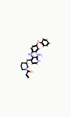 C=CC(=O)N1CCC[C@@H](Cc2ccnc(N)c2Nc2ccc(Oc3ccccc3)cc2)C1